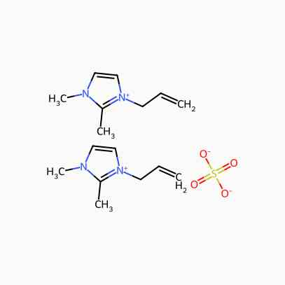 C=CC[n+]1ccn(C)c1C.C=CC[n+]1ccn(C)c1C.O=S(=O)([O-])[O-]